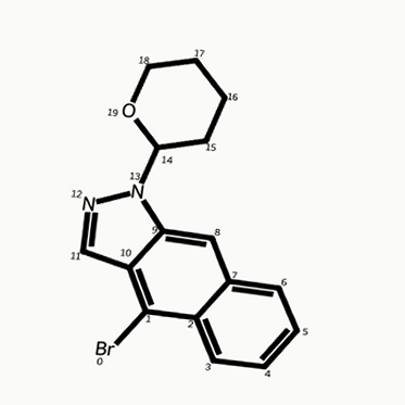 Brc1c2ccccc2cc2c1cnn2C1CCCCO1